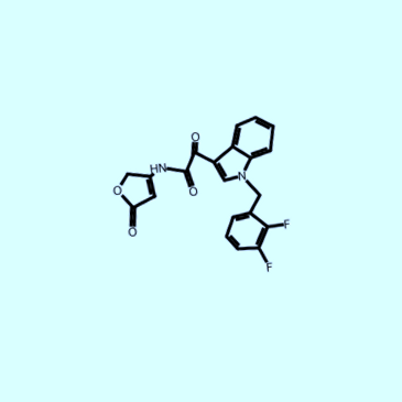 O=C1C=C(NC(=O)C(=O)c2cn(Cc3cccc(F)c3F)c3ccccc23)CO1